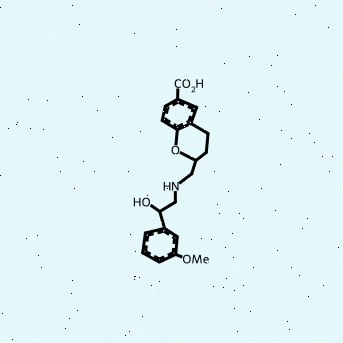 COc1cccc(C(O)CNCC2CCc3cc(C(=O)O)ccc3O2)c1